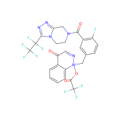 O=C1C=N[N+](Cc2ccc(F)c(C(=O)N3CCn4c(nnc4C(F)(F)C(F)(F)F)C3)c2)(OC(=O)C(F)(F)F)c2ccccc21